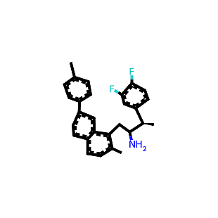 Cc1ccc(-c2ccc3ccc(C)c(CC(N)[C@H](C)c4ccc(F)c(F)c4)c3c2)cc1